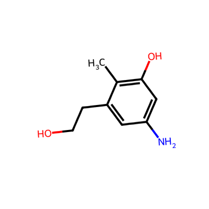 Cc1c(O)cc(N)cc1CCO